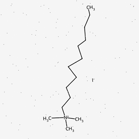 CCCCCCCCCCC[N+](C)(C)C.[I-]